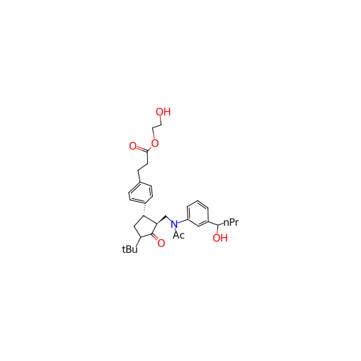 CCCC(O)c1cccc(N(C[C@H]2C(=O)C(C(C)(C)C)C[C@@H]2c2ccc(CCC(=O)OCCO)cc2)C(C)=O)c1